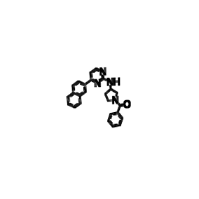 O=C(c1ccccc1)N1CC[C@@H](Nc2nccc(-c3ccc4ccccc4c3)n2)C1